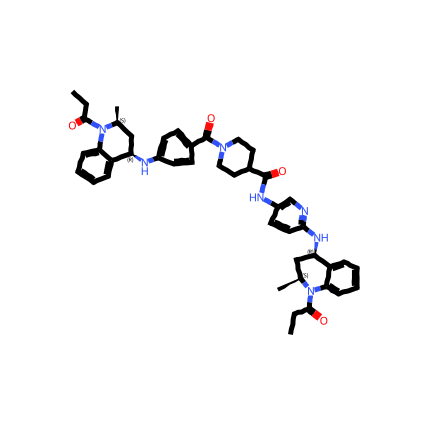 CCC(=O)N1c2ccccc2[C@H](Nc2ccc(C(=O)N3CCC(C(=O)Nc4ccc(N[C@@H]5C[C@H](C)N(C(=O)CC)c6ccccc65)nc4)CC3)cc2)C[C@@H]1C